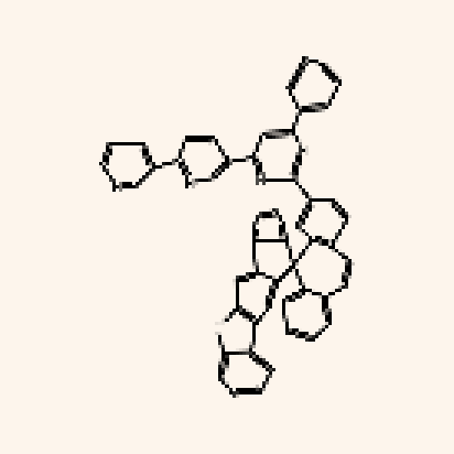 C1=Cc2ccc(-c3nc(-c4ccccc4)cc(-c4ccc(-c5cccnc5)nc4)n3)cc2C2(c3ccccc31)c1ccccc1-c1cc3oc4ccccc4c3cc12